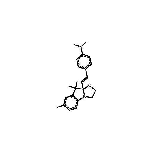 Cc1ccc2c(c1)C(C)(C)C1(C=Cc3ccc(N(C)C)cc3)OCCN21